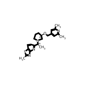 Cc1cc(CO[C@@H]2CCCN([C@H](C)c3ccc4sc(C)nc4n3)C2)cc(C)n1